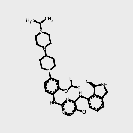 CC(C)N1CCN(C2CCN(c3ccc(Nc4ncc(Cl)c(Nc5cccc6c5C(=O)NC6)n4)c(OC(F)F)c3)CC2)CC1